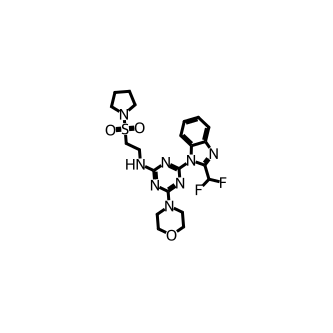 O=S(=O)(CCNc1nc(N2CCOCC2)nc(-n2c(C(F)F)nc3ccccc32)n1)N1CCCC1